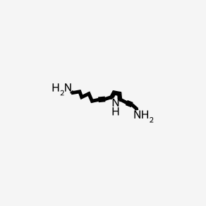 NCC#Cc1ccc(C#CCCCCCN)[nH]1